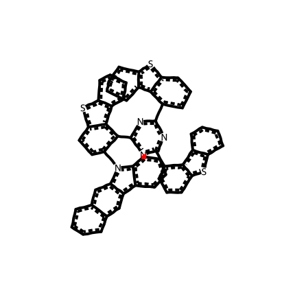 c1ccc2cc3c(cc2c1)c1ccccc1n3-c1ccc2sc3ccccc3c2c1-c1nc(-c2cccc3sc4ccccc4c23)nc(-c2cccc3sc4ccccc4c23)n1